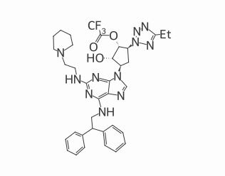 CCc1nnn([C@H]2C[C@@H](n3cnc4c(NCC(c5ccccc5)c5ccccc5)nc(NCCN5CCCCC5)nc43)[C@H](O)[C@@H]2OC(=O)C(F)(F)F)n1